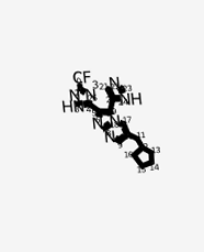 FC(F)(F)c1n[nH]c(-c2nc3ncc(CC4CCCC4)cn3c2-c2cnc[nH]2)n1